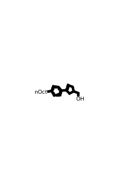 CCCCCCCCc1ccc(C2=CCC(CO)C2)cc1